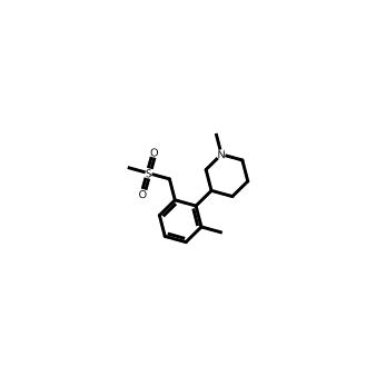 Cc1cccc(CS(C)(=O)=O)c1C1CCCN(C)C1